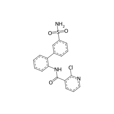 NS(=O)(=O)c1cccc(-c2ccccc2NC(=O)c2cccnc2Cl)c1